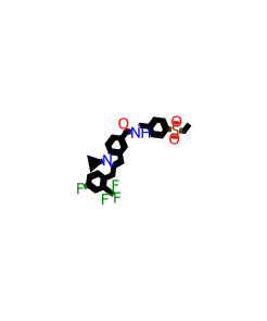 CCS(=O)(=O)c1ccc(CNC(=O)c2ccc3c(c2)cc(Cc2ccc(F)cc2C(F)(F)F)n3C2CC2)cc1